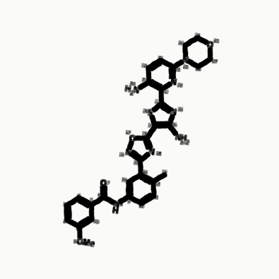 COc1cccc(C(=O)Nc2ccc(C)c(-c3noc(-c4sc(-c5nc(N6CCOCC6)ccc5N)nc4N)n3)c2)c1